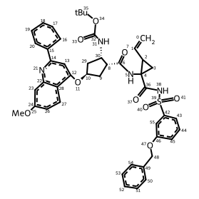 C=CC1CC1(NC(=O)[C@@H]1C[C@@H](Oc2cc(-c3ccccc3)nc3cc(OC)ccc23)C[C@@H]1NC(=O)OC(C)(C)C)C(=O)NS(=O)(=O)c1cccc(OCc2ccccc2)c1